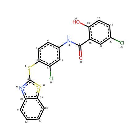 O=C(Nc1ccc(Sc2nc3ccccc3s2)c(Cl)c1)c1cc(Cl)ccc1O